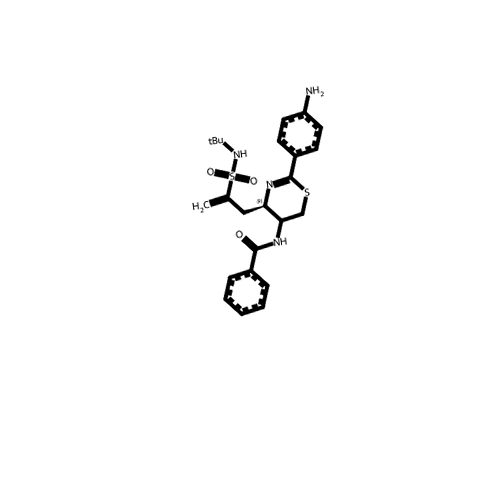 C=C(C[C@H]1N=C(c2ccc(N)cc2)SCC1NC(=O)c1ccccc1)S(=O)(=O)NC(C)(C)C